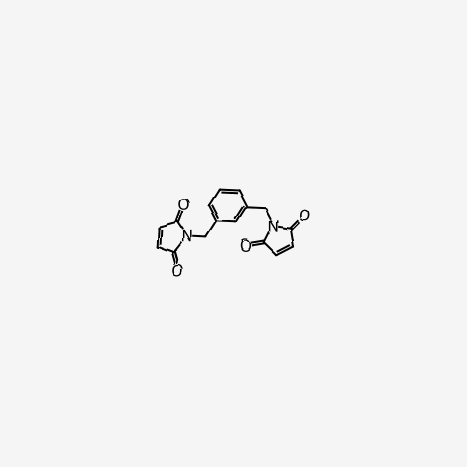 O=C1C=CC(=O)N1Cc1cccc(CN2C(=O)C=CC2=O)c1